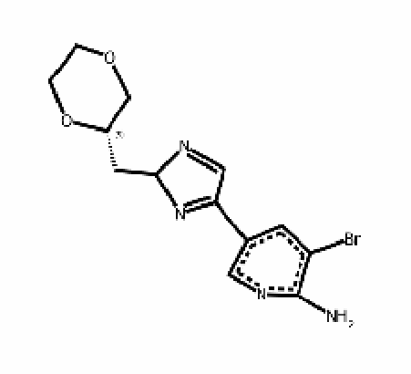 Nc1ncc(C2=NC(C[C@H]3COCCO3)N=C2)cc1Br